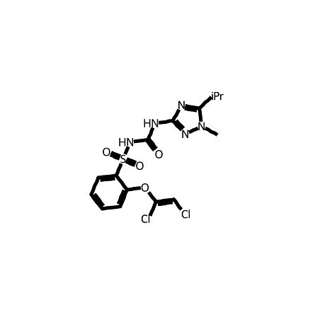 CC(C)c1nc(NC(=O)NS(=O)(=O)c2ccccc2O/C(Cl)=C/Cl)nn1C